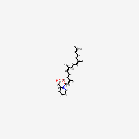 CC(C)=CCCC(C)=CCCC(C)=CCCC(C)=CC(=O)N1CCCCC1CO